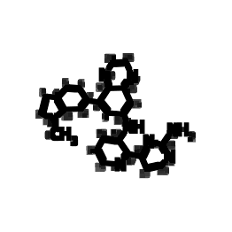 Cn1ccc2ccc(-c3cc(Nc4cccnc4-c4ccnc(N)n4)cc4nccnc34)cc21